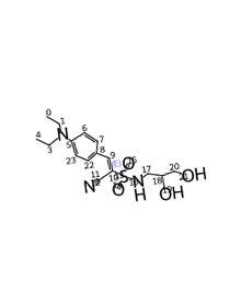 CCN(CC)c1ccc(/C=C(\C#N)S(=O)(=O)NCC(O)CO)cc1